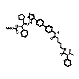 COC(=O)N[C@@H](C(=O)N1CCC[C@H]1c1ncc(-c2ccc(-c3ccc(NC(=O)CCCCNC(=O)[C@@H](c4ccccc4)N(C)C)cc3)cc2)[nH]1)c1ccccc1